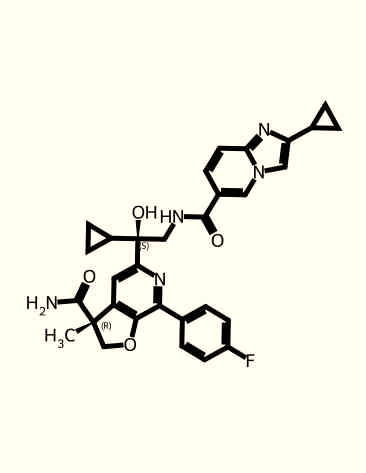 C[C@]1(C(N)=O)COc2c1cc([C@@](O)(CNC(=O)c1ccc3nc(C4CC4)cn3c1)C1CC1)nc2-c1ccc(F)cc1